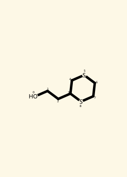 OCCC1CSCCS1